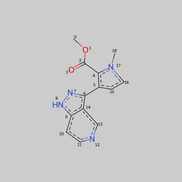 COC(=O)c1c(-c2n[nH]c3ccncc23)ccn1C